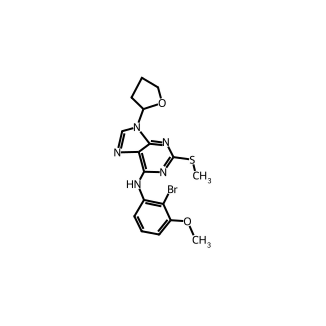 COc1cccc(Nc2nc(SC)nc3c2ncn3C2CCCO2)c1Br